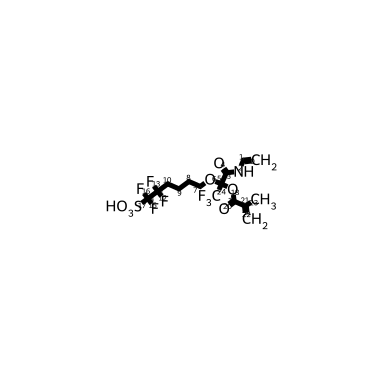 C=CNC(=O)C(OCCCCC(F)(F)C(F)(F)S(=O)(=O)O)(OC(=O)C(=C)C)C(F)(F)F